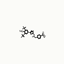 CN(Cc1ccc([N+](=O)[O-])cc1)Cc1nc(-c2cc(C(C)(C)C)c(O)c(C(C)(C)C)c2)cs1